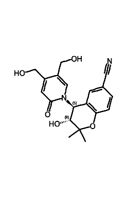 CC1(C)Oc2ccc(C#N)cc2[C@H](n2cc(CO)c(CO)cc2=O)[C@H]1O